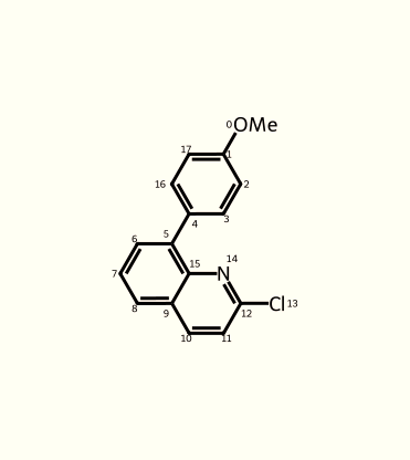 COc1ccc(-c2cccc3ccc(Cl)nc23)cc1